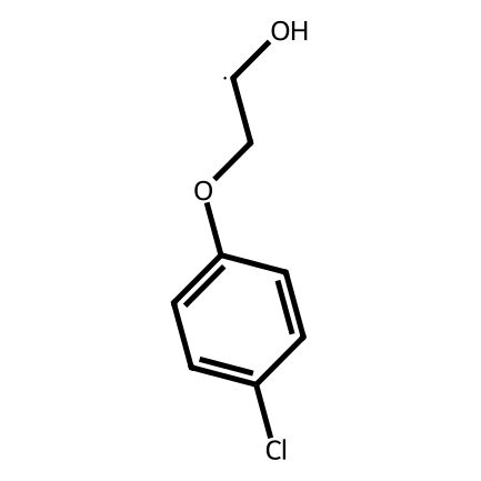 O[CH]COc1ccc(Cl)cc1